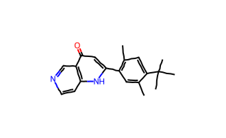 Cc1cc(C(C)(C)C)c(C)cc1-c1cc(=O)c2cnccc2[nH]1